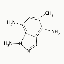 Cc1cc(N)c2c(cnn2N)c1N